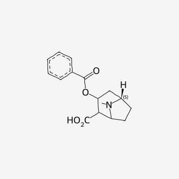 CN1C2CC[C@H]1CC(OC(=O)c1ccccc1)C2C(=O)O